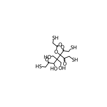 O=C(CS)OC(C(=O)CS)(C(=O)CS)C(CO)(CO)C(O)C(=O)CS